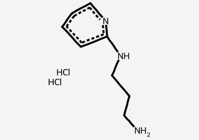 Cl.Cl.NCCCNc1ccccn1